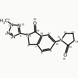 Cn1nnc(N2Cc3ccc(N4CCCC4=O)cc3C2=O)n1